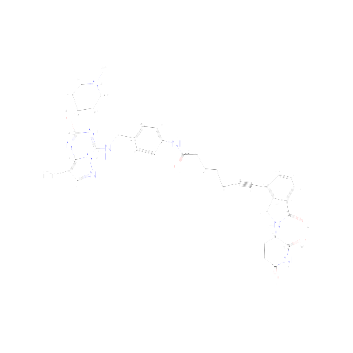 CC(C)c1cnn2c(NCc3ccc(NC(=O)CCCCC#Cc4cccc5c4CN(C4CCC(=O)NC4=O)C5=O)cc3)nc(OC3CCN(C)CC3)nc12